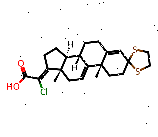 C[C@]12CCC3(C=C1CC[C@@H]1C2=CC[C@]2(C)C(=C(Cl)C(=O)O)CC[C@@H]12)SCCS3